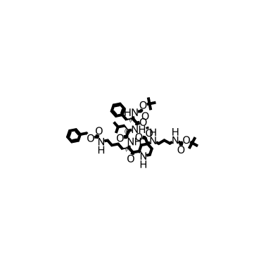 COC(=O)C1(NCCCNC(=O)OC(C)(C)C)CCNC(C(=O)[C@@H](CCCCNC(=O)OCc2ccccc2)NC(=O)[C@@H](CC(C)C)NC(=O)[C@@H](Cc2ccccc2)NC(=O)OC(C)(C)C)C1